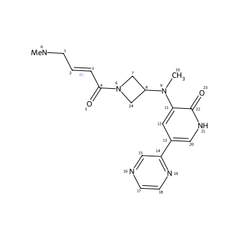 CNC/C=C/C(=O)N1CC(N(C)c2cc(-c3cnccn3)c[nH]c2=O)C1